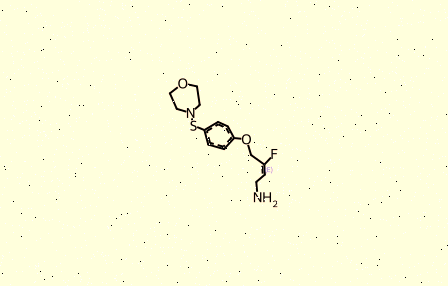 NC/C=C(/F)COc1ccc(SN2CCOCC2)cc1